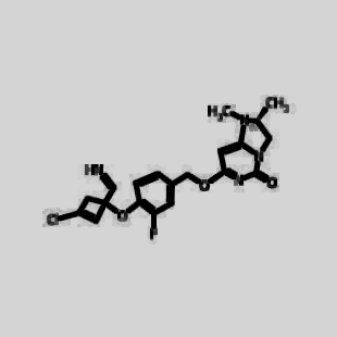 C[C@H]1Cn2c(cc(OCc3ccc(OC4(C=N)C=C(Cl)C4)c(F)c3)nc2=O)N1C